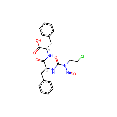 O=NN(CCCl)C(=O)N[C@@H](Cc1ccccc1)C(=O)N[C@@H](Cc1ccccc1)C(=O)O